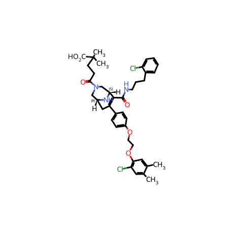 Cc1cc(Cl)c(OCCOc2ccc(C3=C(C(=O)NCCCc4ccccc4Cl)[C@H]4CN(C(=O)CCC(C)(C)C(=O)O)C[C@@H](C3)N4)cc2)cc1C